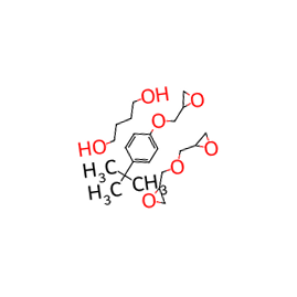 C(OCC1CO1)C1CO1.CC(C)(C)c1ccc(OCC2CO2)cc1.OCCCCO